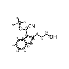 C[Si](C)(C)OC(C#N)c1c2ccccc2nn1CCCO